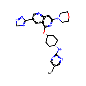 N#Cc1cnc(N[C@H]2CC[C@@H](Oc3nc(N4CCOCC4)cc4ncc(C5=NCN=N5)cc34)CC2)nc1